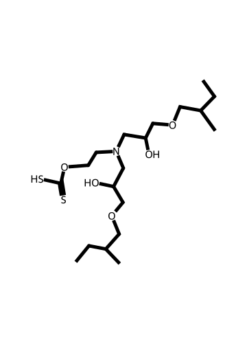 CCC(C)COCC(O)CN(CCOC(=S)S)CC(O)COCC(C)CC